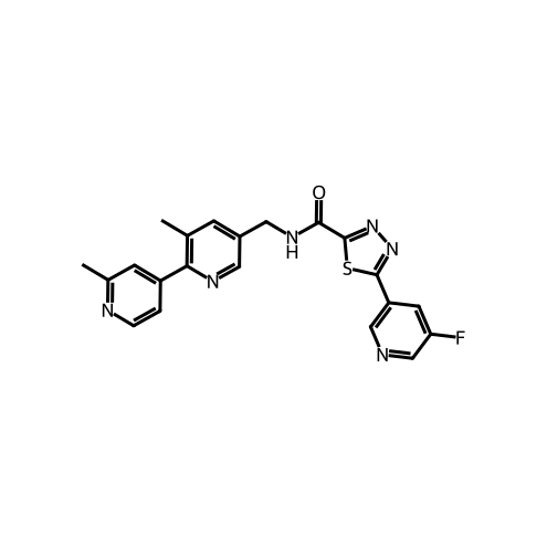 Cc1cc(-c2ncc(CNC(=O)c3nnc(-c4cncc(F)c4)s3)cc2C)ccn1